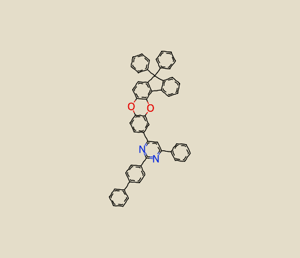 c1ccc(-c2ccc(-c3nc(-c4ccccc4)cc(-c4ccc5c(c4)Oc4c(ccc6c4-c4ccccc4C6(c4ccccc4)c4ccccc4)O5)n3)cc2)cc1